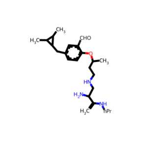 C=C(NCCC)C(N)CNCCC(C)Oc1ccc(CC2C(C)C2C)cc1C=O